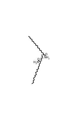 CCCCCCCCCCCCCCCCC(SSSSC(CCCCCCCCCCCCCCCC)C(N)=O)C(N)=O